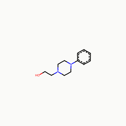 OCCN1CCN(c2[c]cccc2)CC1